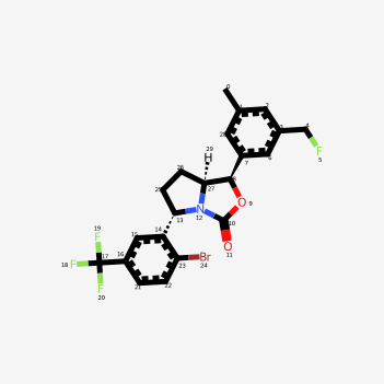 Cc1cc(CF)cc([C@H]2OC(=O)N3[C@H](c4cc(C(F)(F)F)ccc4Br)CC[C@@H]23)c1